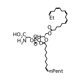 CC/C=C\C/C=C\C/C=C\C/C=C\CCCCC(=O)OC[C@H](COP(=O)(O)OC[C@H](N)C(=O)O)OC(=O)CCCCCCC/C=C\CCCCC